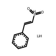 O=[SH](=O)C=Cc1ccccc1.[LiH]